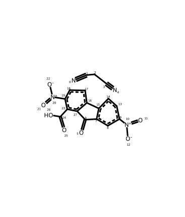 N#CCC#N.O=C1c2cc([N+](=O)[O-])ccc2-c2ccc([N+](=O)[O-])c(C(=O)O)c21